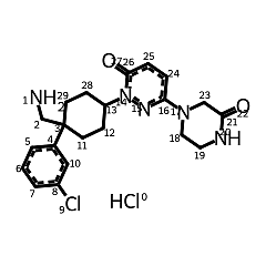 Cl.NCC1(c2cccc(Cl)c2)CCC(n2nc(N3CCNC(=O)C3)ccc2=O)CC1